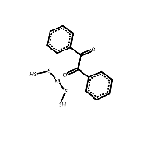 O=C(C(=O)c1ccccc1)c1ccccc1.S[S][Ni][S]S